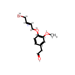 COc1cc(CC=O)ccc1OC/C=C/CBr